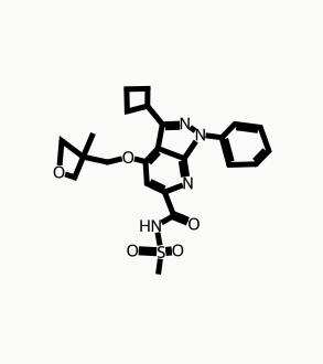 CC1(COc2cc(C(=O)NS(C)(=O)=O)nc3c2c(C2CCC2)nn3-c2ccccc2)COC1